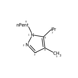 CCCCCn1n[c]c(C)c1C(C)C